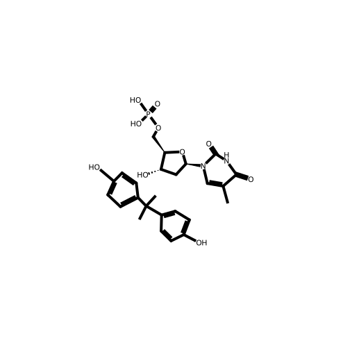 CC(C)(c1ccc(O)cc1)c1ccc(O)cc1.Cc1cn([C@H]2C[C@H](O)[C@@H](COP(=O)(O)O)O2)c(=O)[nH]c1=O